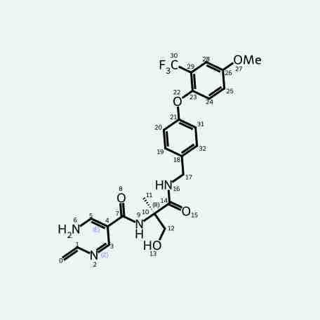 C=C/N=C\C(=C/N)C(=O)N[C@](C)(CO)C(=O)NCc1ccc(Oc2ccc(OC)cc2C(F)(F)F)cc1